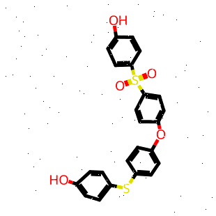 O=S(=O)(c1ccc(O)cc1)c1ccc(Oc2ccc(Sc3ccc(O)cc3)cc2)cc1